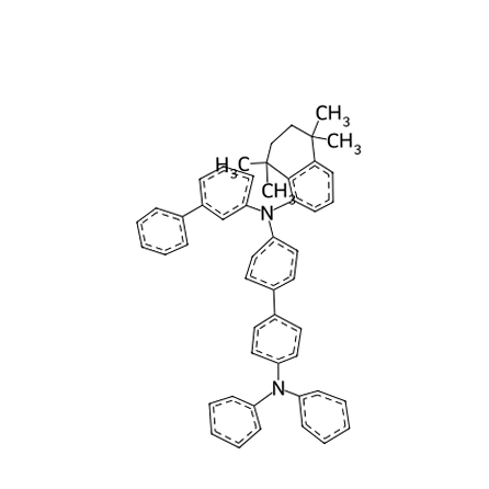 CC1(C)CCC(C)(C)c2c(N(c3ccc(-c4ccc(N(c5ccccc5)c5ccccc5)cc4)cc3)c3cccc(-c4ccccc4)c3)cccc21